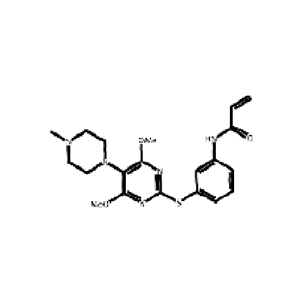 C=CC(=O)Nc1cccc(Sc2nc(OC)c(N3CCN(C)CC3)c(OC)n2)c1